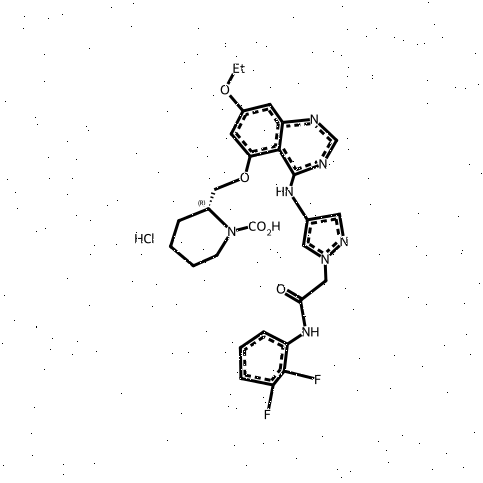 CCOc1cc(OC[C@H]2CCCCN2C(=O)O)c2c(Nc3cnn(CC(=O)Nc4cccc(F)c4F)c3)ncnc2c1.Cl